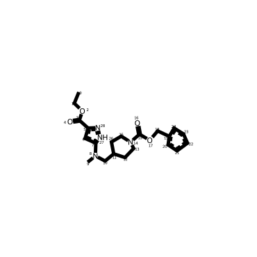 CCOC(=O)c1cc(N(C)CC2CCN(C(=O)OCc3ccccc3)CC2)[nH]n1